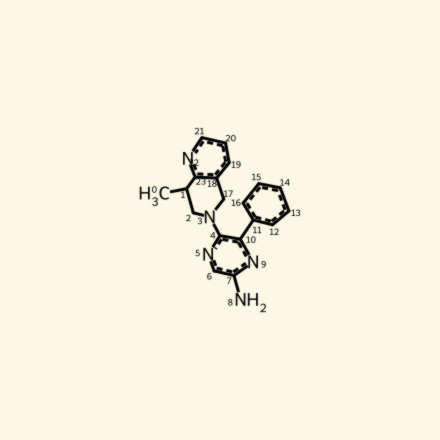 CC1CN(c2ncc(N)nc2-c2ccccc2)Cc2cccnc21